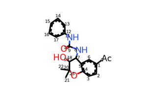 CC(=O)c1ccc2c(c1)C(NC(=O)Nc1ccccc1)C(O)C(C)(C)O2